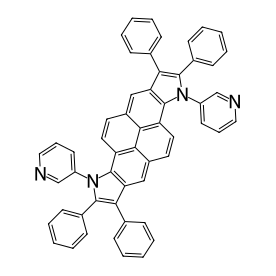 c1ccc(-c2c(-c3ccccc3)n(-c3cccnc3)c3c2cc2ccc4c5c(ccc3c25)cc2c(-c3ccccc3)c(-c3ccccc3)n(-c3cccnc3)c24)cc1